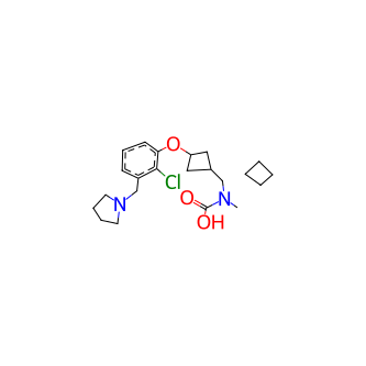 C1CCC1.CN(CC1CC(Oc2cccc(CN3CCCC3)c2Cl)C1)C(=O)O